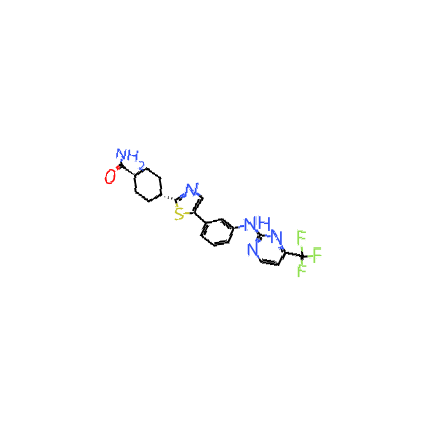 NC(=O)[C@H]1CC[C@H](c2ncc(-c3cccc(Nc4nccc(C(F)(F)F)n4)c3)s2)CC1